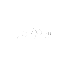 O=c1c2cc(-c3cccnc3)ccc2ncn1Cc1cccc(Cl)c1